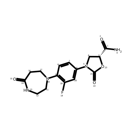 NC(=O)[C@H]1CN(c2ccc(N3CCNC(=O)CC3)c(F)c2)C(=O)O1